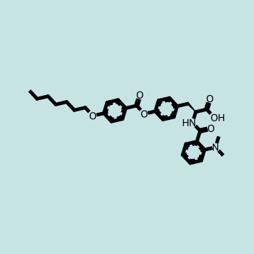 CCCCCCCOc1ccc(C(=O)Oc2ccc(C[C@H](NC(=O)c3ccccc3N(C)C)C(=O)O)cc2)cc1